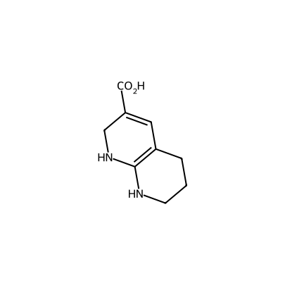 O=C(O)C1=CC2=C(NCCC2)NC1